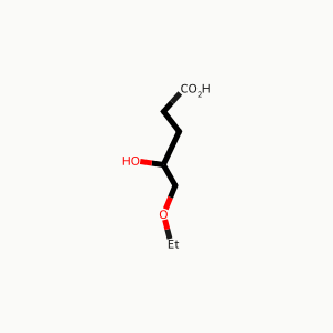 CCOCC(O)CCC(=O)O